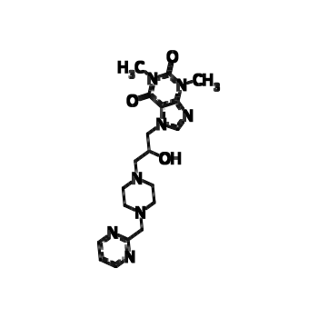 Cn1c(=O)c2c(ncn2CC(O)CN2CCN(Cc3ncccn3)CC2)n(C)c1=O